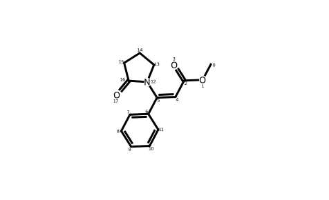 COC(=O)/C=C(/c1ccccc1)N1CCCC1=O